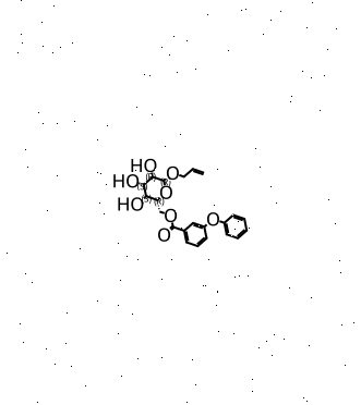 C=CCO[C@@H]1O[C@H](COC(=O)c2cccc(Oc3ccccc3)c2)[C@@H](O)[C@H](O)[C@H]1O